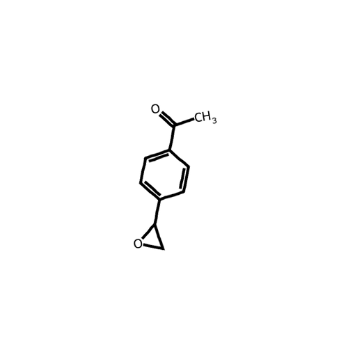 CC(=O)c1ccc(C2CO2)cc1